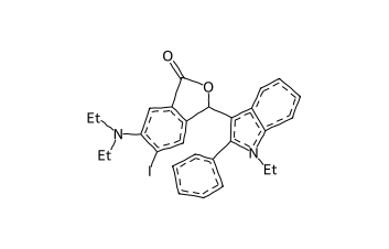 CCN(CC)c1cc2c(cc1I)C(c1c(-c3ccccc3)n(CC)c3ccccc13)OC2=O